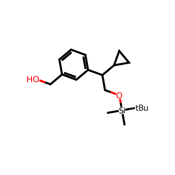 CC(C)(C)[Si](C)(C)OCC(c1cccc(CO)c1)C1CC1